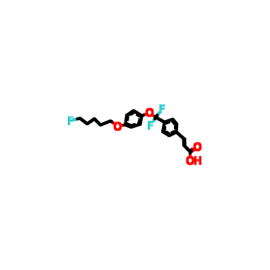 O=C(O)C=Cc1ccc(C(F)(F)Oc2ccc(OCCCCCF)cc2)cc1